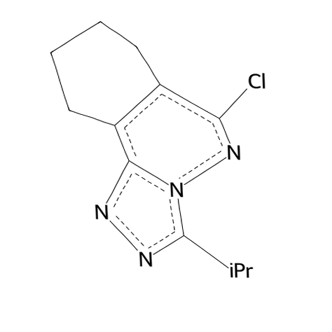 CC(C)c1nnc2c3c(c(Cl)nn12)CCCC3